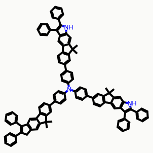 CC1(C)c2cc(-c3ccc(N(c4ccc(-c5ccc6c(c5)C(C)(C)c5cc7[nH]c(-c8ccccc8)c(-c8ccccc8)c7cc5-6)cc4)c4ccc(-c5ccc6c(c5)C(C)(C)c5cc7[nH]c(-c8ccccc8)c(-c8ccccc8)c7cc5-6)cc4)cc3)ccc2-c2cc3c(cc21)CC(c1ccccc1)=C3c1ccccc1